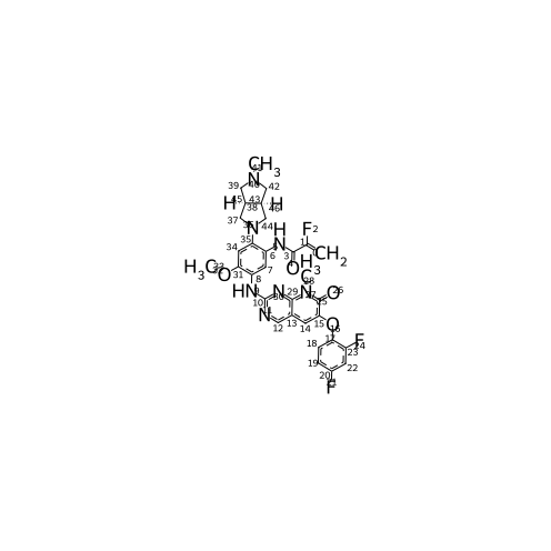 C=C(F)C(=O)Nc1cc(Nc2ncc3cc(Oc4ccc(F)cc4F)c(=O)n(C)c3n2)c(OC)cc1N1C[C@H]2CN(C)C[C@H]2C1